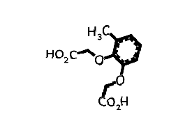 Cc1cccc(OCC(=O)O)c1OCC(=O)O